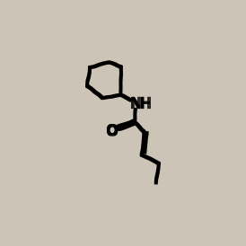 CC/C=C/C(=O)NC1CCCCC1